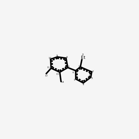 CCc1ccccc1-c1cccc(C)c1C